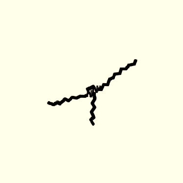 CCCCCCCCCCCC[n+]1ccn(CCCCCCCCCC)c1CCCCCCC